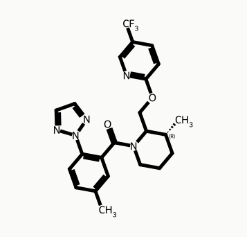 Cc1ccc(-n2nccn2)c(C(=O)N2CCC[C@@H](C)C2COc2ccc(C(F)(F)F)cn2)c1